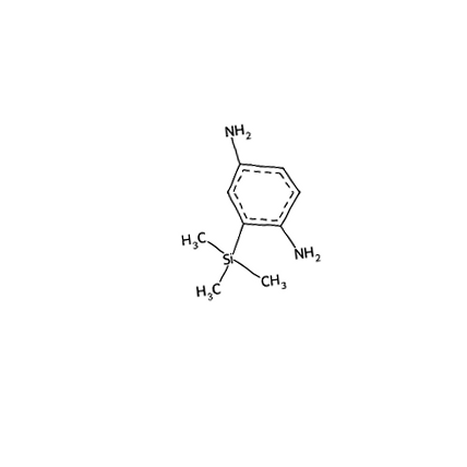 C[Si](C)(C)c1cc(N)ccc1N